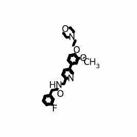 COc1cc(-c2ccc(CNC(=O)Cc3cccc(F)c3)nc2)ccc1OCCN1CCOCC1